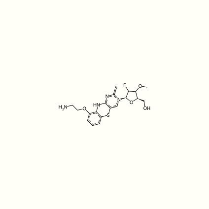 COC1C(F)[C@H](n2cc3c(nc2=S)Nc2c(OCCN)cccc2S3)O[C@@H]1CO